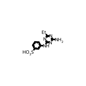 CCc1nc(N)nc(Nc2cccc(S(=O)(=O)O)c2)n1